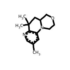 Cc1cnc2c(c1)N1CCOCC1CC2(C)C